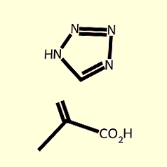 C=C(C)C(=O)O.c1nnn[nH]1